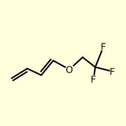 C=CC=COCC(F)(F)F